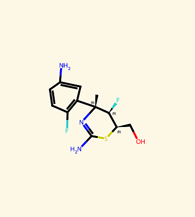 C[C@]1(c2cc(N)ccc2F)N=C(N)S[C@H](CO)[C@@H]1F